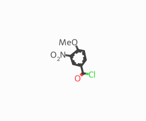 COc1ccc(C(=O)Cl)cc1[N+](=O)[O-]